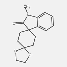 CN1C(=O)C2(CCC3(CC2)OCCO3)c2ccccc21